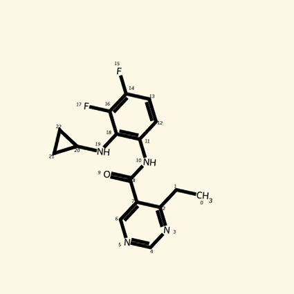 CCc1ncncc1C(=O)Nc1ccc(F)c(F)c1NC1CC1